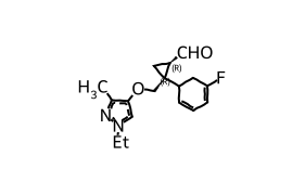 CCn1cc(OC[C@@]2(C3C=CC=C(F)C3)C[C@H]2C=O)c(C)n1